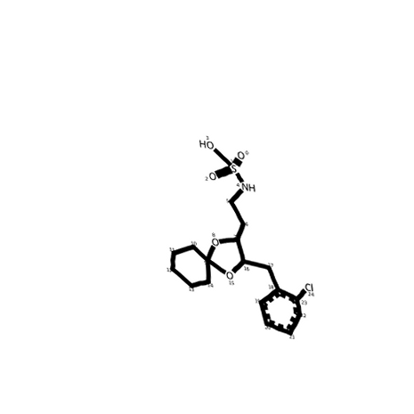 O=S(=O)(O)NCCC1OC2(CCCCC2)OC1Cc1ccccc1Cl